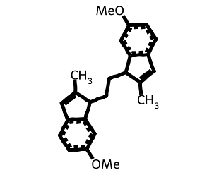 COc1ccc2c(c1)C(CCC1C(C)=Cc3ccc(OC)cc31)C(C)=C2